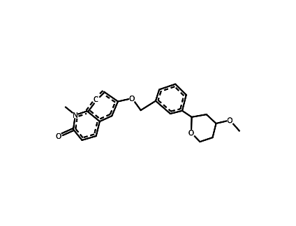 COC1CCOC(c2cccc(COc3ccc4c(ccc(=O)n4C)c3)c2)C1